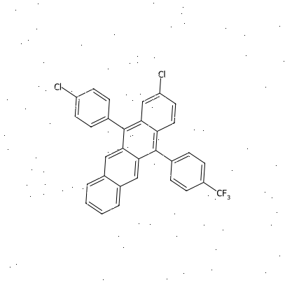 FC(F)(F)c1ccc(-c2c3ccc(Cl)cc3c(-c3ccc(Cl)cc3)c3cc4ccccc4cc23)cc1